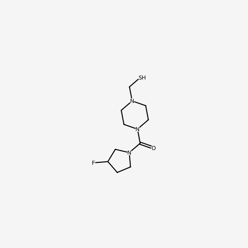 O=C(N1CCN(CS)CC1)N1CCC(F)C1